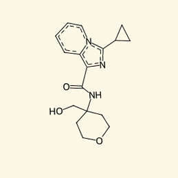 O=C(NC1(CO)CCOCC1)c1nc(C2CC2)n2ccccc12